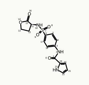 O=C(Nc1ccc(S(=O)(=O)N[C@H]2CCOC2=O)cc1)c1ccc[nH]1